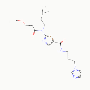 COCCC(=O)N(CCC(C)C)c1ncc(C(=O)NCCCn2ccnc2)s1